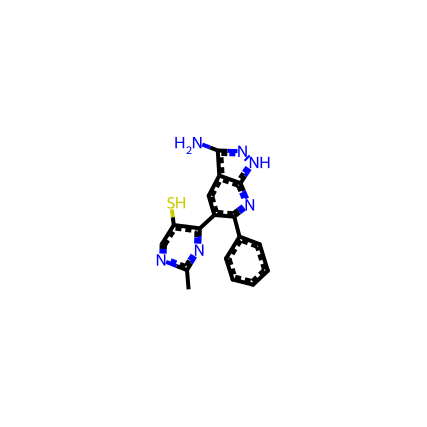 Cc1ncc(S)c(-c2cc3c(N)n[nH]c3nc2-c2ccccc2)n1